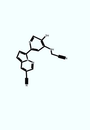 N#CCNc1cc(-c2ccc3cc(C#N)cnn23)ncc1S